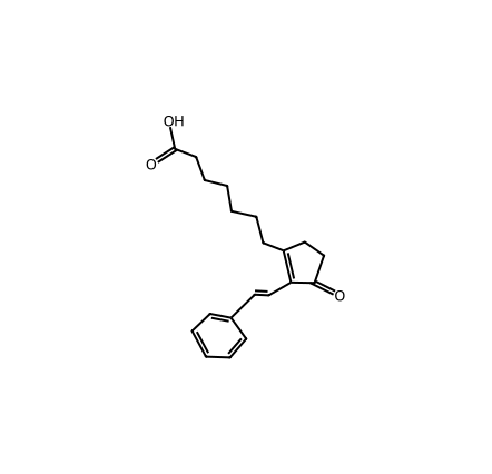 O=C(O)CCCCCCC1=C(C=Cc2ccccc2)C(=O)CC1